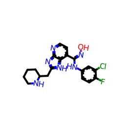 O/N=C(/Nc1ccc(F)c(Cl)c1)c1ccnc2nc(CC3CCCCN3)[nH]c12